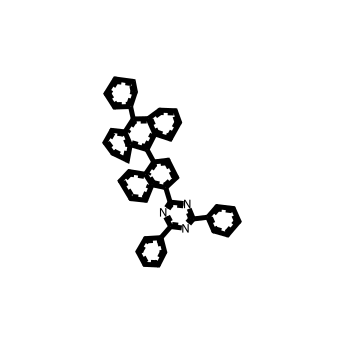 c1ccc(-c2nc(-c3ccccc3)nc(-c3ccc(-c4c5ccccc5c(-c5ccccc5)c5ccccc45)c4ccccc34)n2)cc1